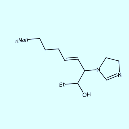 CCCCCCCCCCCCC=CC(C(O)CC)N1C=NCC1